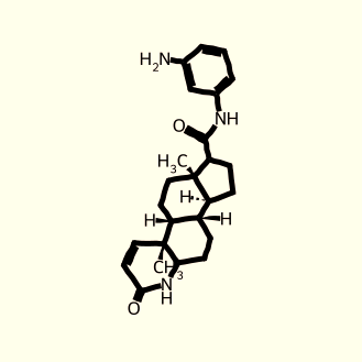 C[C@]12C=CC(=O)NC1CC[C@@H]1[C@H]2CC[C@]2(C)C(C(=O)Nc3cccc(N)c3)CC[C@@H]12